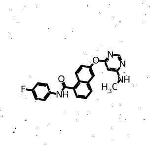 CNc1cc(Oc2ccc3c(C(=O)Nc4ccc(F)cc4)cccc3c2)ncn1